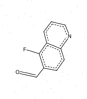 O=Cc1ccc2ncccc2c1F